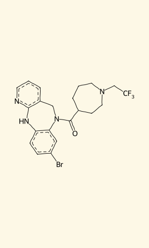 O=C(C1CCCN(CC(F)(F)F)CC1)N1Cc2cccnc2Nc2ccc(Br)cc21